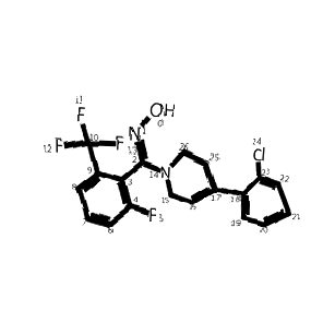 ON=C(c1c(F)cccc1C(F)(F)F)N1CC=C(c2ccccc2Cl)CC1